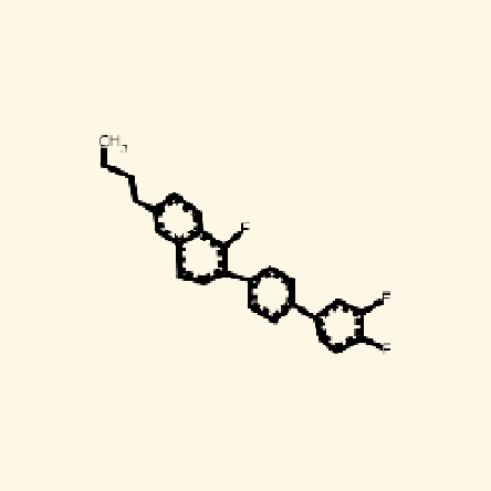 CCCCc1ccc2c(F)c(-c3ccc(-c4ccc(F)c(F)c4)cc3)ccc2c1